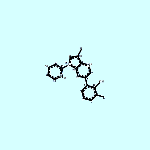 Cc1cccc(-c2cnc3c(C)cn(-c4ccccn4)c3c2)c1F